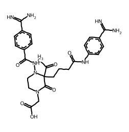 CC(=O)C1(CCCC(=O)Nc2ccc(C(=N)N)cc2)C(=O)N(CC(=O)O)CCN1NC(=O)c1ccc(C(=N)N)cc1